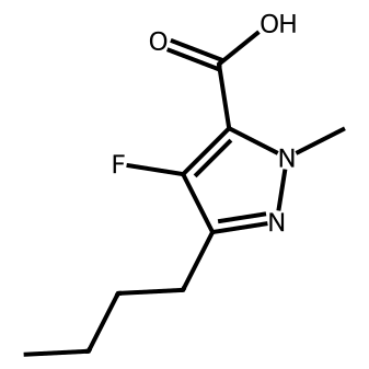 CCCCc1nn(C)c(C(=O)O)c1F